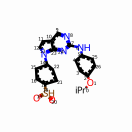 CC(C)Oc1ccc(Nc2ncc3ccn(-c4ccc([SH](=O)=O)cc4)c3n2)cc1